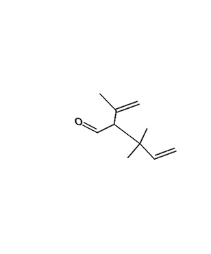 C=CC(C)(C)C(C=O)C(=C)C